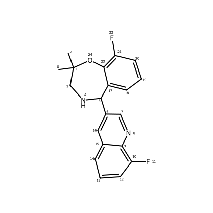 CC1(C)CNC(c2cnc3c(F)cccc3c2)c2cccc(F)c2O1